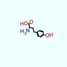 N[C@H](CCc1ccc(O)cc1)C(=O)O